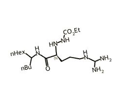 CCCCCCC(CCCC)NC(=O)[C@H](CCCNC(N)N)NNC(=O)OCC